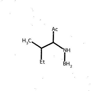 BNC(C(C)=O)C(C)CC